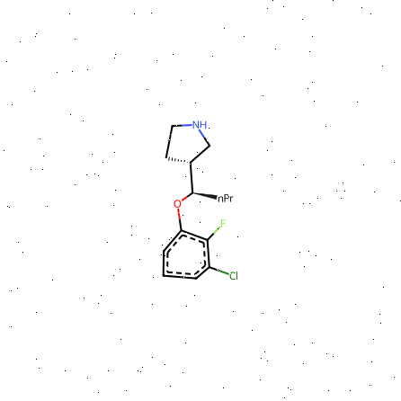 CCC[C@@H](Oc1cccc(Cl)c1F)[C@@H]1CCNC1